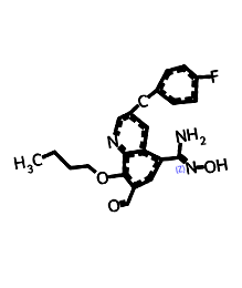 CCCCOc1c(C=O)cc(/C(N)=N/O)c2cc(Cc3ccc(F)cc3)cnc12